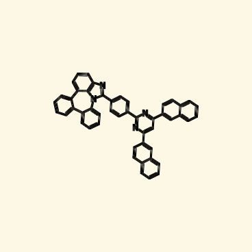 c1ccc2c(c1)-c1ccccc1-n1c(-c3ccc(-c4nc(-c5ccc6ccccc6c5)cc(-c5ccc6ccccc6c5)n4)cc3)nc3cccc-2c31